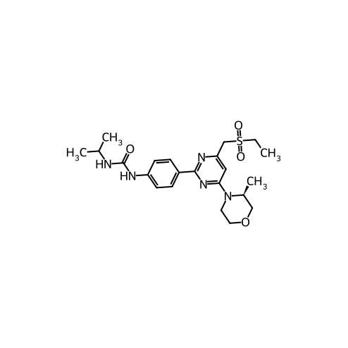 CCS(=O)(=O)Cc1cc(N2CCOC[C@@H]2C)nc(-c2ccc(NC(=O)NC(C)C)cc2)n1